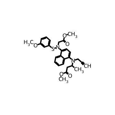 C#CCN(c1ccc(N(CC(=O)OC)Sc2cccc(OC)c2)c2ccccc12)C(C)CC(=O)OC